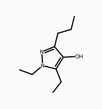 CCCc1nn(CC)c(CC)c1O